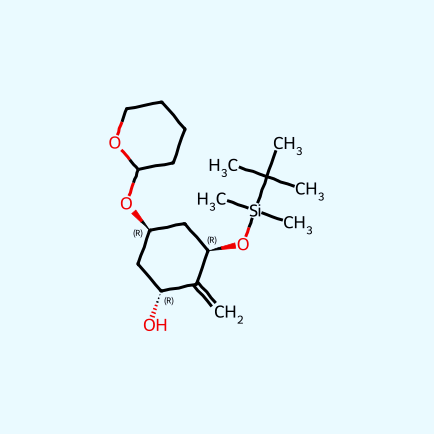 C=C1[C@H](O)C[C@@H](OC2CCCCO2)C[C@H]1O[Si](C)(C)C(C)(C)C